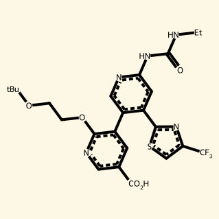 CCNC(=O)Nc1cc(-c2nc(C(F)(F)F)cs2)c(-c2cc(C(=O)O)cnc2OCCOC(C)(C)C)cn1